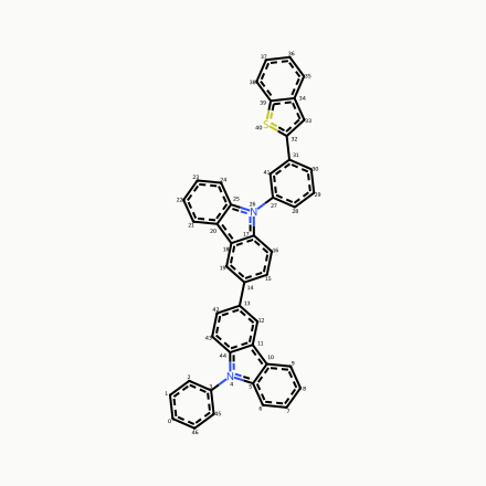 c1ccc(-n2c3ccccc3c3cc(-c4ccc5c(c4)c4ccccc4n5-c4cccc(-c5cc6ccccc6s5)c4)ccc32)cc1